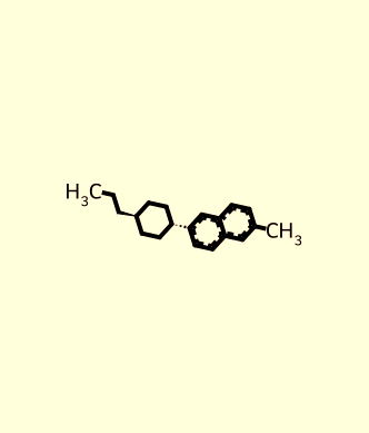 CCC[C@H]1CC[C@H](c2ccc3cc(C)ccc3c2)CC1